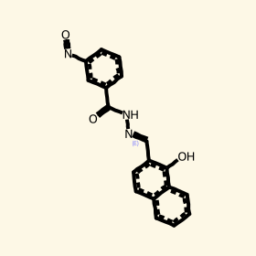 O=Nc1cccc(C(=O)N/N=C/c2ccc3ccccc3c2O)c1